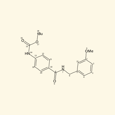 COc1cccc(CNC(=O)c2ccc(NC(=O)OC(C)(C)C)cc2)c1